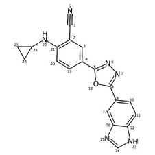 N#Cc1cc(-c2nnc(-c3ccc4[nH]cnc4c3)o2)ccc1NC1CC1